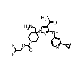 NCC1(n2cc(C(N)=O)c(Nc3ccnc(C4CC4)c3)n2)CCN(C(=O)OCC(F)F)CC1